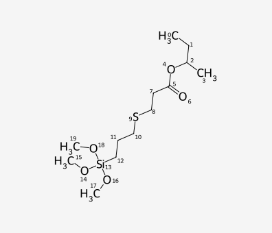 CCC(C)OC(=O)CCSCCC[Si](OC)(OC)OC